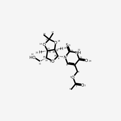 CC(=O)OCc1cn([C@@H]2O[C@H](CO)[C@H]3OC(C)(C)O[C@H]32)c(=S)[nH]c1=O